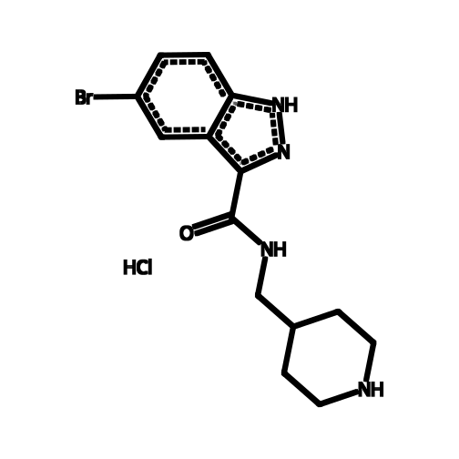 Cl.O=C(NCC1CCNCC1)c1n[nH]c2ccc(Br)cc12